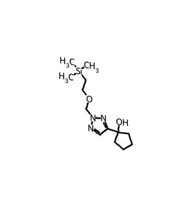 C[Si](C)(C)CCOCn1ncc(C2(O)CCCC2)n1